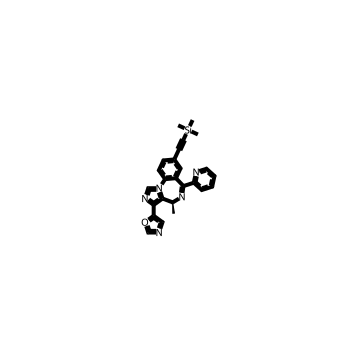 C[C@@H]1N=C(c2ccccn2)c2cc(C#C[Si](C)(C)C)ccc2-n2cnc(-c3cnco3)c21